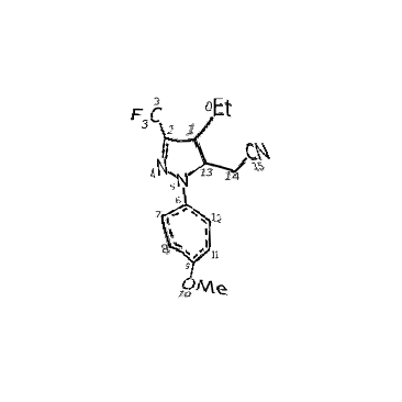 CCC1C(C(F)(F)F)=NN(c2ccc(OC)cc2)C1CC#N